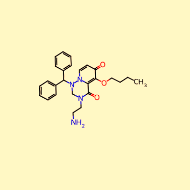 CCCCOc1c2n(ccc1=O)N(C(c1ccccc1)c1ccccc1)CN(CCN)C2=O